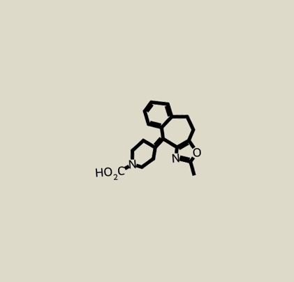 Cc1nc2c(o1)CCc1ccccc1C2=C1CCN(C(=O)O)CC1